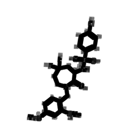 COc1ccc(CN2CCC(F)(F)CC(NS(=O)(=O)c3ccc(Cl)cc3)C2=O)c(OC)c1